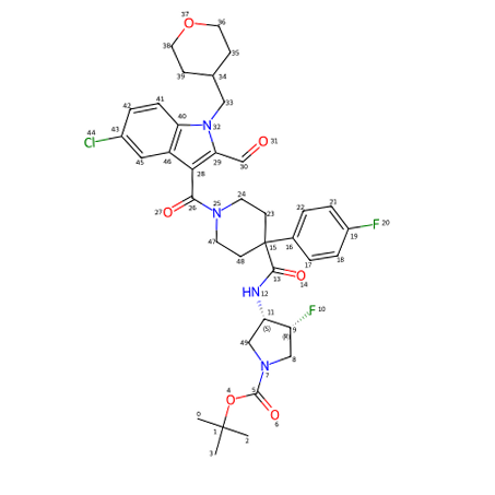 CC(C)(C)OC(=O)N1C[C@@H](F)[C@@H](NC(=O)C2(c3ccc(F)cc3)CCN(C(=O)c3c(C=O)n(CC4CCOCC4)c4ccc(Cl)cc34)CC2)C1